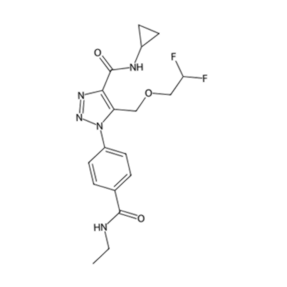 CCNC(=O)c1ccc(-n2nnc(C(=O)NC3CC3)c2COCC(F)F)cc1